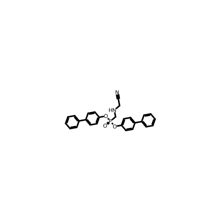 N#CCNCP(=O)(Oc1ccc(-c2ccccc2)cc1)Oc1ccc(-c2ccccc2)cc1